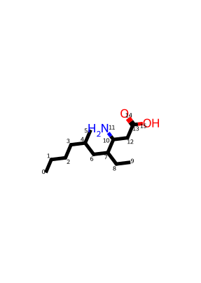 CCCCC(C)CC(CC)C(N)CC(=O)O